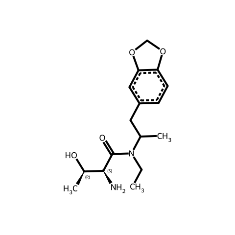 CCN(C(=O)[C@@H](N)[C@@H](C)O)C(C)Cc1ccc2c(c1)OCO2